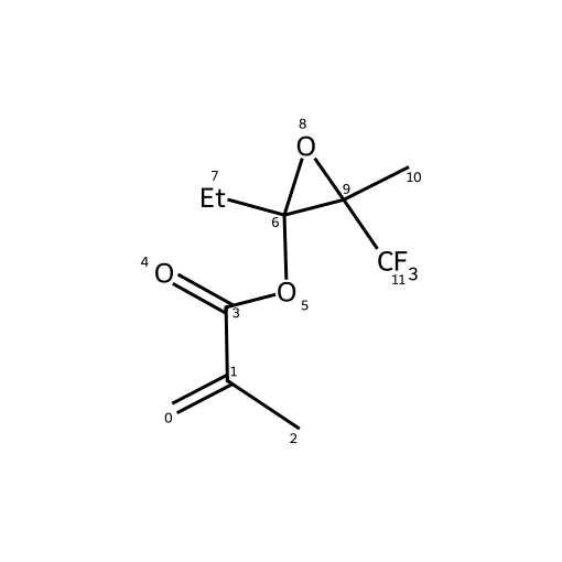 C=C(C)C(=O)OC1(CC)OC1(C)C(F)(F)F